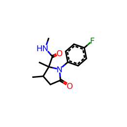 CNC(=O)C1(C)C(C)CC(=O)N1c1ccc(F)cc1